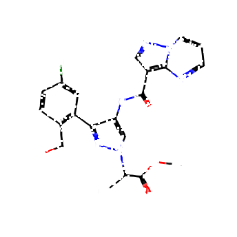 CC(C(=O)OC(C)(C)C)n1cc(NC(=O)c2cnn3cccnc23)c(-c2cc(Cl)ccc2CO)n1